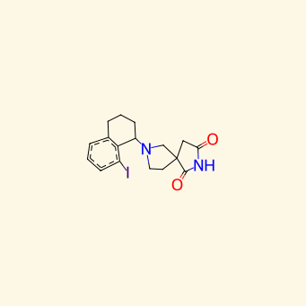 O=C1CC2(CCN(C3CCCc4cccc(I)c43)C2)C(=O)N1